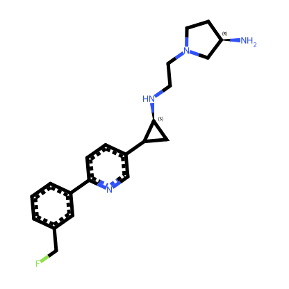 N[C@@H]1CCN(CCN[C@H]2CC2c2ccc(-c3cccc(CF)c3)nc2)C1